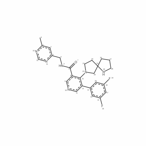 Cc1cc(CNC(=O)c2cncc(-c3cc(F)cc(F)c3)c2N2CCC3(CCCN3)C2)ncn1